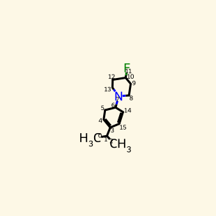 CC(C)C1=CCC(N2CCC(F)CC2)C=C1